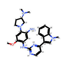 COc1cc(N2CC[C@@H](N(C)C)C2)c(N)cc1Nc1nccc(-c2cn(C)c3ccccc23)n1